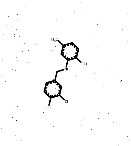 Cc1ccc(O)c(NCc2ccc(Cl)c(Cl)c2)c1